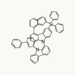 c1ccc(-c2cccc(-n3c4ccccc4c4cccc(-n5c6ccc([Si](c7ccccc7)(c7ccccc7)c7ccccc7)cc6c6c(-c7ccccc7)cccc65)c43)c2)cc1